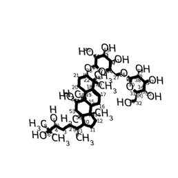 C[C@H](CC[C@@H](O)C(C)(C)O)C1CC[C@@]2(C)C3CC=C4C(CC[C@H](O[C@@H]5O[C@H](CO[C@@H]6O[C@H](CO)[C@@H](O)C(O)[C@H]6O)[C@@H](O)[C@H](O)[C@H]5O)C4(C)C)[C@]3(C)[C@H](O)C[C@]12C